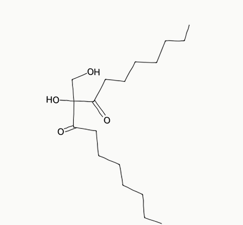 CCCCCCCC(=O)C(O)(CO)C(=O)CCCCCCC